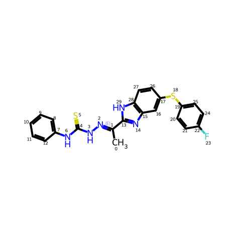 C/C(=N\NC(=S)Nc1ccccc1)c1nc2cc(Sc3ccc(F)cc3)ccc2[nH]1